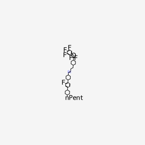 CCCCCC1CCC(c2ccc(C3CCC(/C=C/CCC4CCC(C(F)(F)Oc5cc(F)c(F)c(F)c5)CC4)CC3)c(F)c2)CC1